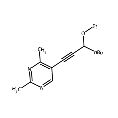 CCCCC(C#Cc1cnc(C)nc1C)OCC